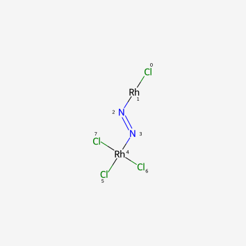 [Cl][Rh][N]=[N][Rh]([Cl])([Cl])[Cl]